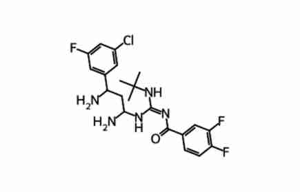 CC(C)(C)N/C(=N/C(=O)c1ccc(F)c(F)c1)NC(N)CC(N)c1cc(F)cc(Cl)c1